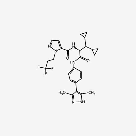 Cc1n[nH]c(C)c1-c1ccc(NC(=O)[C@@H](NC(=O)c2ccnn2CCC(F)(F)F)C(C2CC2)C2CC2)cc1